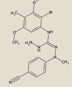 COc1cc(N/C(=N/N(C)c2ccc(C#N)cc2)NN)c(Br)c(OC)c1C